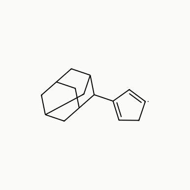 [C]1=CC(C2C3CC4CC(C3)CC2C4)=CC1